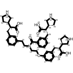 O=C(O)[C@@H](Cc1cccc(CCN(CCOc2cccc(C[C@H](C(=O)O)[C@H]3CCNC3)c2)C(=O)c2cccc(C[C@H](C(=O)O)[C@H]3CCNC3)c2)c1)[C@H]1CCNC1